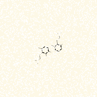 CCN(CC)CCc1c(Cl)ccc(Oc2ccc(Cl)c(CCN(CC)CC)c2Cl)c1Cl